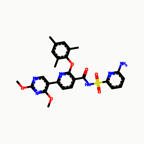 COc1ncc(-c2ccc(C(=O)NS(=O)(=O)c3cccc(N)n3)c(Oc3c(C)cc(C)cc3C)n2)c(OC)n1